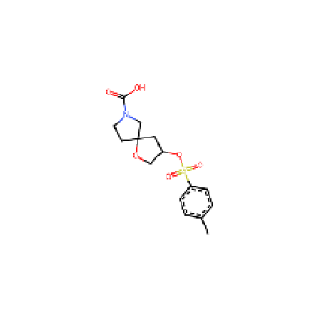 Cc1ccc(S(=O)(=O)OC2COC3(CCN(C(=O)O)C3)C2)cc1